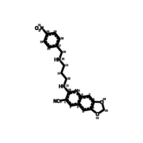 N#Cc1cc2cc3c(cc2nc1NCCCNCc1ccc([N+](=O)[O-])cc1)OCO3